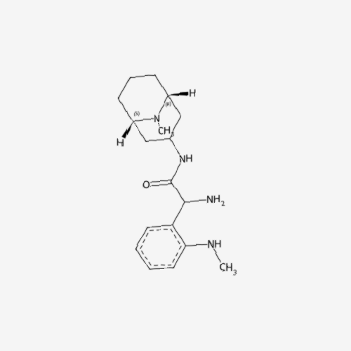 CNc1ccccc1C(N)C(=O)NC1C[C@H]2CCC[C@@H](C1)N2C